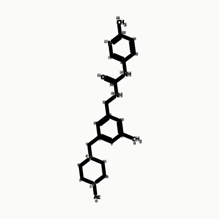 CC(=O)N1CCN(Cc2cc(C)cc(CNC(=O)Nc3ccc(C)nc3)c2)CC1